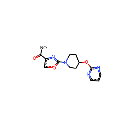 O=NC(=O)c1coc(N2CCC(Oc3ncccn3)CC2)n1